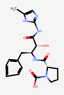 Cc1cnc(NC(=O)[C@H](O)[C@H](Cc2ccccc2)NC(=O)[C@@H]2CCCN2C(=O)O)[nH]1